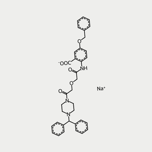 O=C(COCC(=O)N1CCN(C(c2ccccc2)c2ccccc2)CC1)Nc1ccc(OCc2ccccc2)cc1C(=O)[O-].[Na+]